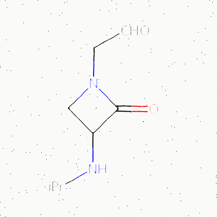 CC(C)NC1CN(CC=O)C1=O